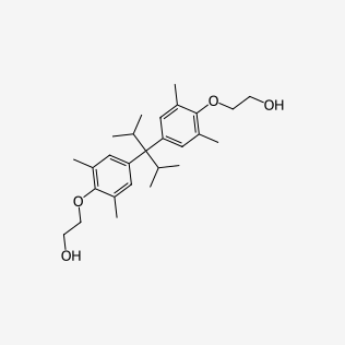 Cc1cc(C(c2cc(C)c(OCCO)c(C)c2)(C(C)C)C(C)C)cc(C)c1OCCO